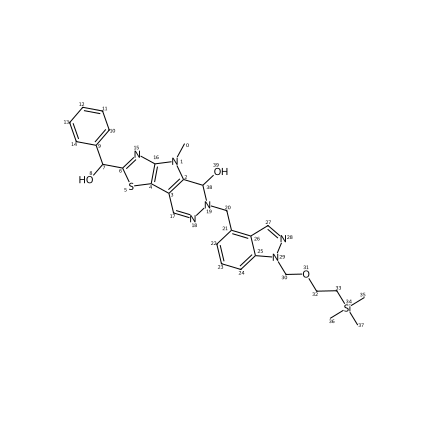 Cn1c2c(c3sc(C(O)c4ccccc4)nc31)C=NN(Cc1cccc3c1cnn3COCC[Si](C)(C)C)C2O